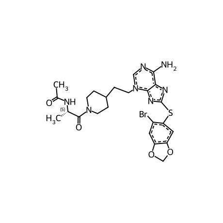 CC(=O)N[C@@H](C)C(=O)N1CCC(CCn2cnc(N)c3nc(Sc4cc5c(cc4Br)OCO5)nc2-3)CC1